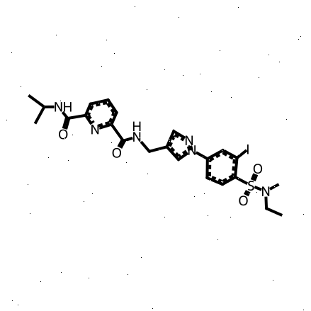 CCN(C)S(=O)(=O)c1ccc(-n2cc(CNC(=O)c3cccc(C(=O)NC(C)C)n3)cn2)cc1I